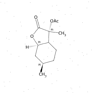 CC(=O)O[C@@]1(C)C(=O)O[C@@H]2C[C@H](C)CCC21